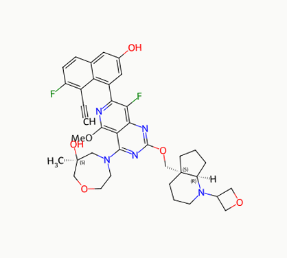 C#Cc1c(F)ccc2cc(O)cc(-c3nc(OC)c4c(N5CCOC[C@@](C)(O)C5)nc(OC[C@]56CCC[C@H]5N(C5COC5)CCC6)nc4c3F)c12